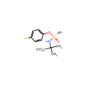 CCOC(=O)C(C)(C)N[P@](=O)(Oc1ccc(F)cc1)C(C)C